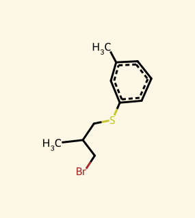 Cc1cccc(SCC(C)CBr)c1